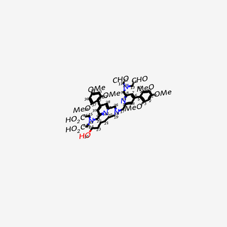 COc1cc(OC)c(-c2cc(CN(CC=O)CC=O)nc(CN(CCCCCCO)Cc3cc(-c4c(OC)cc(OC)cc4OC)cc(CN(CC(=O)O)CC(=O)O)n3)c2)c(OC)c1